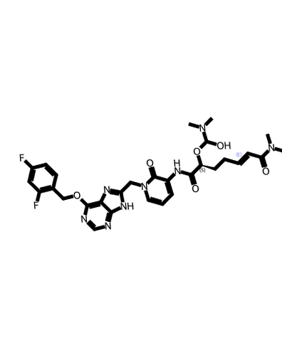 CN(C)C(=O)/C=C/CC[C@H](OC(O)N(C)C)C(=O)Nc1cccn(Cc2nc3c(OCc4ccc(F)cc4F)ncnc3[nH]2)c1=O